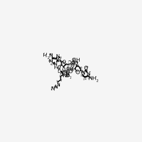 [N-]=[N+]=NCCC[C@@H](N)C(=O)OC1C(COP(=O)(O)O[C@H]2C[C@H](n3ccc(N)nc3=O)O[C@@H]2COP(=O)(O)O)OC(n2cnc3c(N)ncnc32)C1O